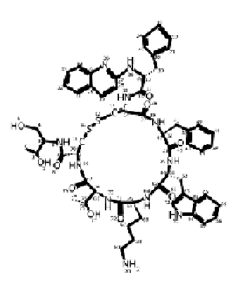 CC(O)C(CO)NC(=O)[C@@H]1CSSC[C@H](NC(=O)[C@@H](Cc2ccccc2)Nc2ccc3ccccc3n2)C(=O)N[C@@H](Cc2ccccc2)C(=O)N[C@H](Cc2c[nH]c3ccccc23)C(=O)N[C@@H](CCCCN)C(=O)N[C@@H]([C@@H](C)O)C(=O)N1